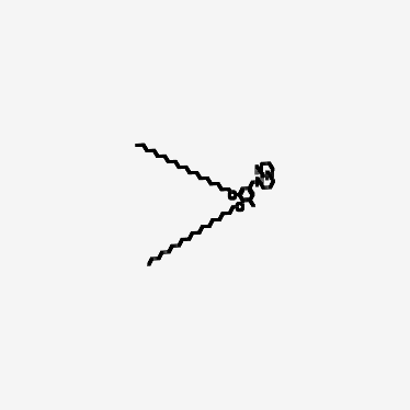 CCCCCCCCCCCCCCCCCCOc1cc(CN2CCCN3CCCN=C32)cc(C)c1OCCCCCCCCCCCCCCCCCC